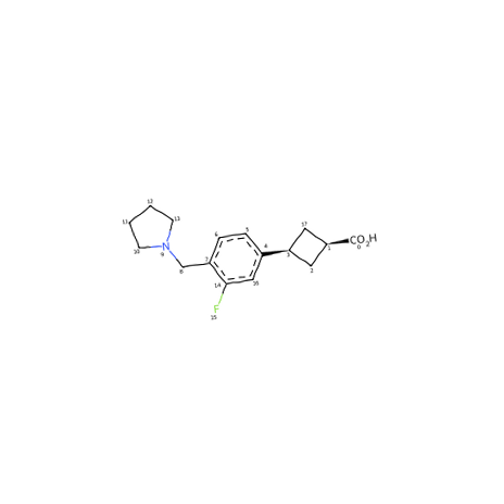 O=C(O)[C@H]1C[C@@H](c2ccc(CN3CCCC3)c(F)c2)C1